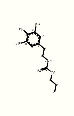 CCCOC(=O)NCCc1cc(F)c(F)c(F)c1